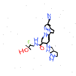 CC(C)(O)C(F)CNC(=O)c1cnc(-c2ccc3cc(C#N)cnn23)cc1NC[C@H]1CCNC1